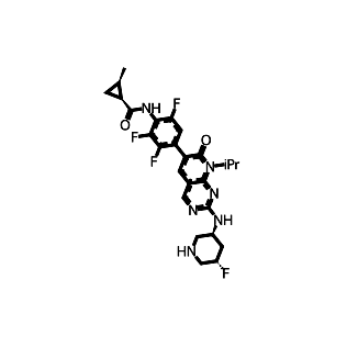 CC(C)n1c(=O)c(-c2cc(F)c(NC(=O)[C@H]3C[C@H]3C)c(F)c2F)cc2cnc(N[C@@H]3CNC[C@@H](F)C3)nc21